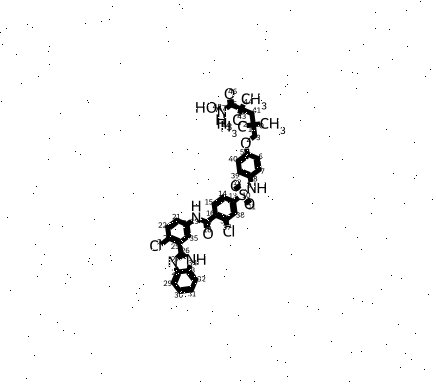 CC(C)(COc1ccc(NS(=O)(=O)c2ccc(C(=O)Nc3ccc(Cl)c(-c4nc5ccccc5[nH]4)c3)c(Cl)c2)cc1)CC(C)(C)C(=O)NO